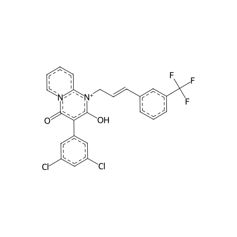 O=c1c(-c2cc(Cl)cc(Cl)c2)c(O)[n+](C/C=C/c2cccc(C(F)(F)F)c2)c2ccccn12